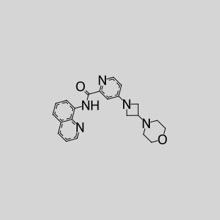 O=C(Nc1cccc2cccnc12)c1cc(N2CC(N3CCOCC3)C2)ccn1